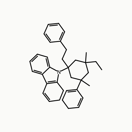 CCC1(C)CC(C)(C2=CCCC=C2)CC(CCc2ccccc2)(n2c3c(c4ccccc42)C=CCC3)C1